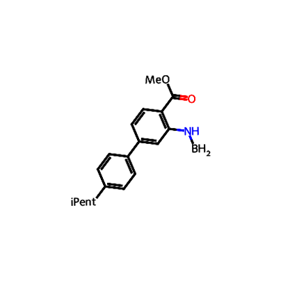 BNc1cc(-c2ccc(C(C)CCC)cc2)ccc1C(=O)OC